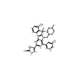 CC1CCC(Cn2c(C(C)(F)c3ccccc3C#N)nc3nc(-c4noc(=O)[nH]4)nc(-c4cncc(Cl)c4)c32)CC1